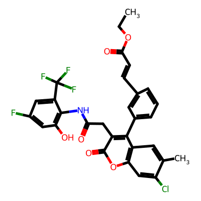 CCOC(=O)C=Cc1cccc(-c2c(CC(=O)Nc3c(O)cc(F)cc3C(F)(F)F)c(=O)oc3cc(Cl)c(C)cc23)c1